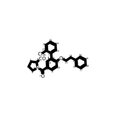 O=C(O)C1CCCN1C(=O)c1ccc(OCCc2ccccc2)c(-c2ccccc2Cl)c1